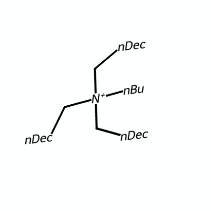 CCCCCCCCCCC[N+](CCCC)(CCCCCCCCCCC)CCCCCCCCCCC